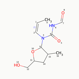 C/C=C\N(C(=O)NC=O)C1OC(CO)CC1C